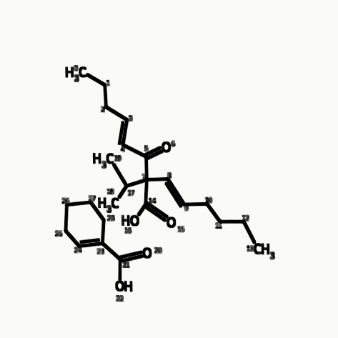 CCCC=CC(=O)C(C=CCCCC)(C(=O)O)C(C)C.O=C(O)C1=CCCCC1